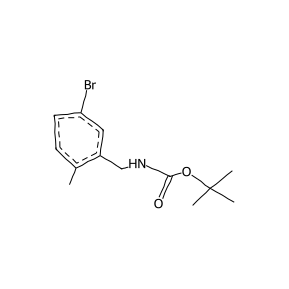 Cc1ccc(Br)cc1CNC(=O)OC(C)(C)C